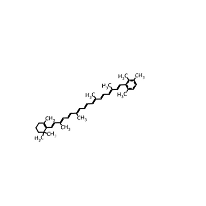 CC1=C(/C=C/C(C)=C/C=C/C(C)=C/C=C/C=C(C)/C=C/C=C(C)/C=C/c2c(C)ccc(C)c2C)C(C)(C)CCC1